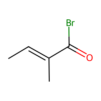 C/C=C(\C)C(=O)Br